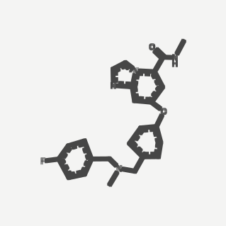 CNC(=O)c1cc(Oc2ccc(CN(C)Cc3ccc(F)cc3)cc2)cc2nccn12